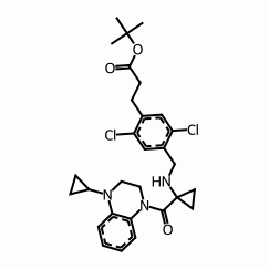 CC(C)(C)OC(=O)CCc1cc(Cl)c(CNC2(C(=O)N3CCN(C4CC4)c4ccccc43)CC2)cc1Cl